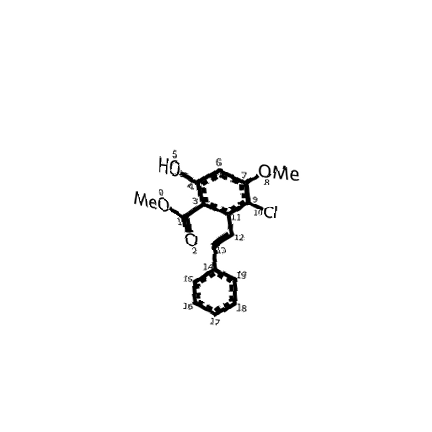 COC(=O)c1c(O)cc(OC)c(Cl)c1C=Cc1ccccc1